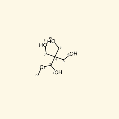 COC(O)C(CO)(CO)CO